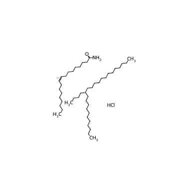 CCCCCCCC/C=C\CCCCCCCC(N)=O.CCCCCCCCCCCCCC(CCCC)CCCCCCCCCCC.Cl